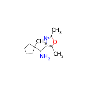 Cc1nc(C(N)C2(C)CCCC2)c(C)o1